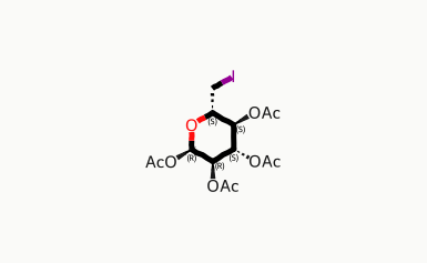 CC(=O)O[C@H]1O[C@H](CI)[C@@H](OC(C)=O)[C@H](OC(C)=O)[C@H]1OC(C)=O